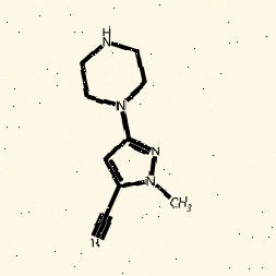 Cn1nc(N2CCNCC2)cc1C#N